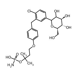 CC(C)(CCOc1ccc(Cc2cc(C3O[C@H](CO)[C@@H](O)[C@H](O)C3O)ccc2Cl)cc1)OP(N)(=O)O